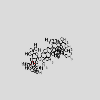 C/C=C(/C)C(=O)O[C@H]1[C@H](OC(=O)/C(C)=C/C)[C@@]2(CO)C(CC1(C)C)C1=CCC3[C@@]4(C)CC[C@H](O[C@@H]5OC(C(=O)O)[C@@H](O)[C@@H](O[C@@H]6O[C@@H](CO)[C@@H](O)C6O)C5O[C@@H]5OC(CO)[C@H](O)[C@@H](O)C5O)C(C)(C)C4CC[C@@]3(C)[C@]1(C)[C@@H](O)[C@H]2O